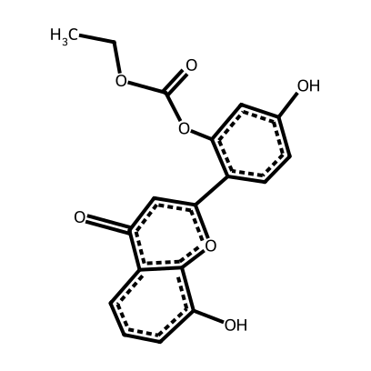 CCOC(=O)Oc1cc(O)ccc1-c1cc(=O)c2cccc(O)c2o1